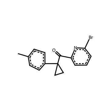 Cc1ccc(C2(C(=O)c3cccc(Br)n3)CC2)cc1